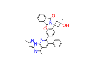 Cc1cc2nc(C)c3cc(-c4ccccc4)c(-c4ccc([C@]5(N6C(=O)c7ccccc7C6=O)C[C@](C)(O)C5)cc4)nc3n2n1